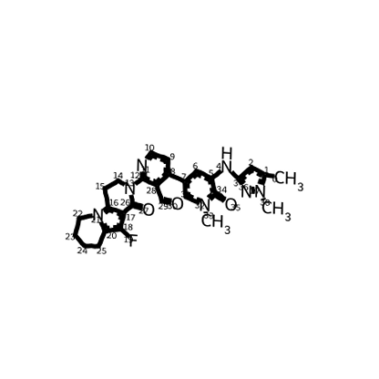 Cc1cc(Nc2cc(-c3ccnc(N4CCc5c(c(F)c6n5CCCC6)C4=O)c3C=O)cn(C)c2=O)nn1C